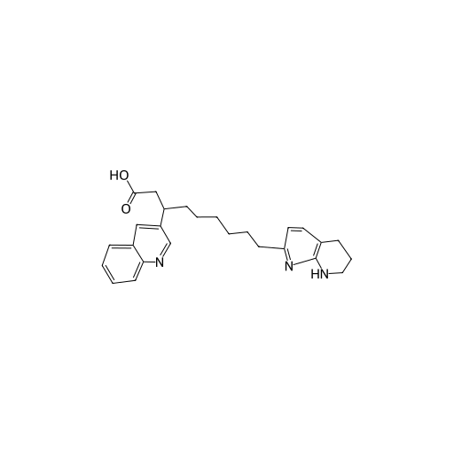 O=C(O)CC(CCCCCCc1ccc2c(n1)NCCC2)c1cnc2ccccc2c1